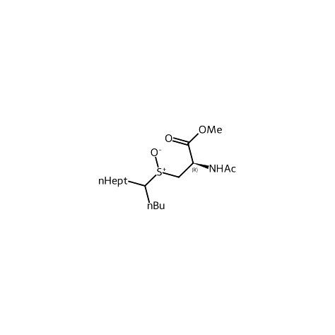 CCCCCCCC(CCCC)[S+]([O-])C[C@H](NC(C)=O)C(=O)OC